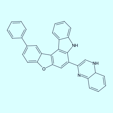 C1=CC2=NC(c3cc4oc5ccc(-c6ccccc6)cc5c4c4c3[nH]c3ccccc34)=CNC2C=C1